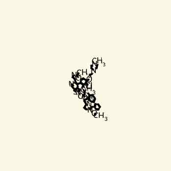 COc1ccccc1-c1nccc(COc2ccccc2C[C@@H](Oc2nsc3cnc(-c4cnc(C)o4)c(-c4ccc(OCCN5CCN(C)CC5)c(Cl)c4C)c23)C(=O)O)n1